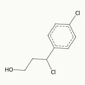 OCCC(Cl)c1ccc(Cl)cc1